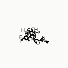 CC1Nc2nc(C3CCO[C@@H](c4cnn(C5CC5)c4)C3)nc(-c3ccc(C(F)F)cc3F)c2NC1C